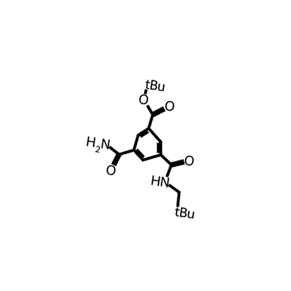 CC(C)(C)CNC(=O)c1cc(C(N)=O)cc(C(=O)OC(C)(C)C)c1